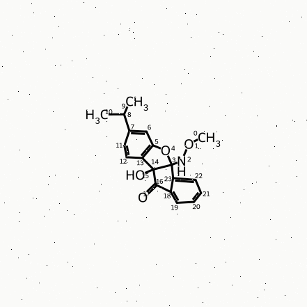 CONC12Oc3cc(C(C)C)ccc3C1(O)C(=O)c1ccccc12